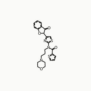 O=C1c2ccccc2OC1c1csc(N(CCCN2CCOCC2)C(=O)c2cccs2)n1